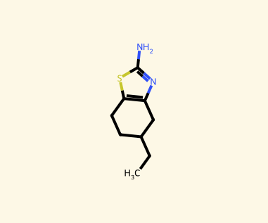 CCC1CCc2sc(N)nc2C1